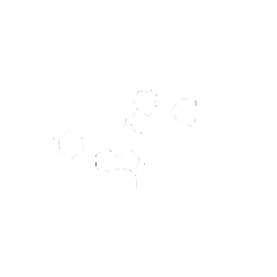 Cc1cc(F)cc(-c2nccc3[nH]c(-c4n[nH]c5ccc(-c6ccncc6)cc45)cc23)c1